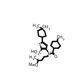 COC(C)CCCN(C(=O)C1CCC(C)CC1)c1cc(C2CCC(C)(C)CC2)sc1C(=O)O